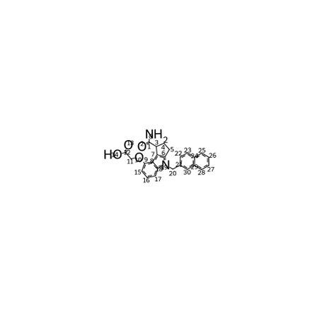 NC(=O)C1CCc2c1c1c(OCC(=O)O)cccc1n2Cc1ccc2ccccc2c1